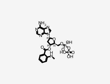 CNc1ccccc1C(=O)O[C@@H]1C[C@H](n2cnc3c(N)ncnc32)O[C@H]1CO[P@@](=O)(O)OP(=O)(O)O